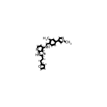 Cc1cc(-c2cnn(C)c2)ccc1CNc1ccnc2[nH]c(CCc3ccco3)nc12